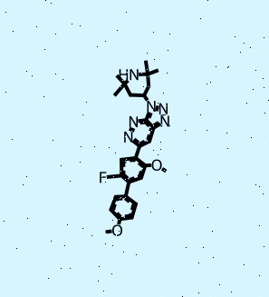 COc1ccc(-c2cc(OC)c(-c3cc4nnn(C5CC(C)(C)NC(C)(C)C5)c4nn3)cc2F)cc1